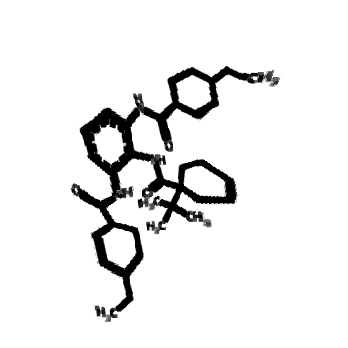 CCC1CCC(C(=O)Nc2cccc(NC(=O)C3CCC(CC)CC3)c2NC(=O)C2(C(C)(C)C)CCCCC2)CC1